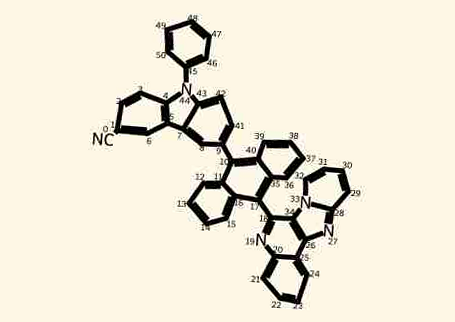 N#Cc1ccc2c(c1)c1cc(-c3c4ccccc4c(-c4nc5ccccc5c5nc6ccccn6c45)c4ccccc34)ccc1n2-c1ccccc1